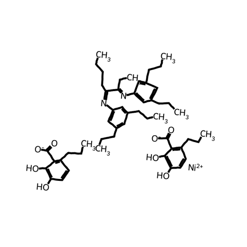 CCCCC(=Nc1cc(CCC)cc(CCC)c1)C(CC)=Nc1cc(CCC)cc(CCC)c1.CCCc1ccc(O)c(O)c1C(=O)[O-].CCCc1ccc(O)c(O)c1C(=O)[O-].[Ni+2]